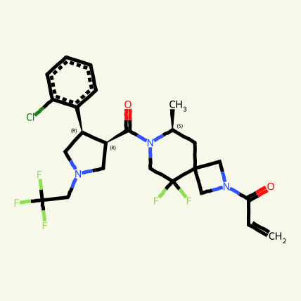 C=CC(=O)N1CC2(C[C@H](C)N(C(=O)[C@H]3CN(CC(F)(F)F)C[C@H]3c3ccccc3Cl)CC2(F)F)C1